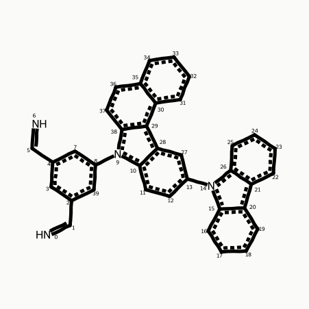 N=Cc1cc(C=N)cc(-n2c3ccc(-n4c5ccccc5c5ccccc54)cc3c3c4ccccc4ccc32)c1